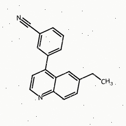 CCc1ccc2nccc(-c3cccc(C#N)c3)c2c1